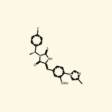 COc1cc(/C=C2\NC(=S)N([C@@H](C)c3ccc(F)cc3)C2=O)ccc1-n1cnc(C)c1